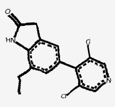 CCc1cc(-c2c(Cl)cncc2Cl)cc2c1NC(=O)C2